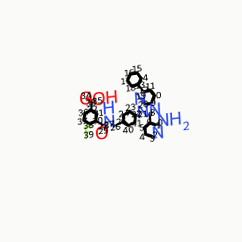 Nc1ncccc1-c1nc2ccc(-c3ccccc3)nc2n1-c1ccc(CNC(=O)c2cc(C(=O)O)ccc2F)cc1